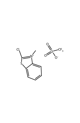 C[n+]1c(Cl)sc2ccccc21.O=S(=O)([O-])C(F)(F)F